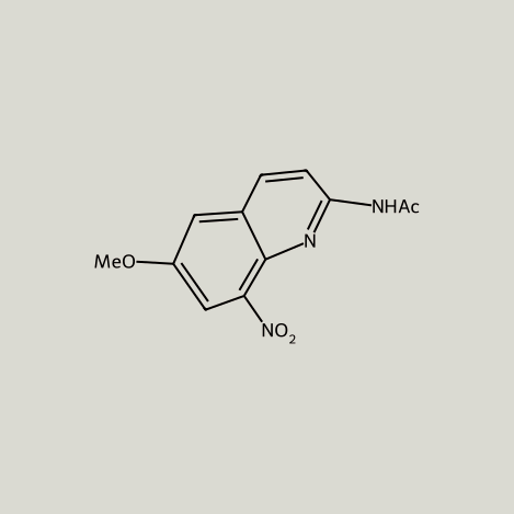 COc1cc([N+](=O)[O-])c2nc(NC(C)=O)ccc2c1